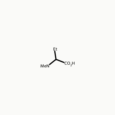 CC[C](NC)C(=O)O